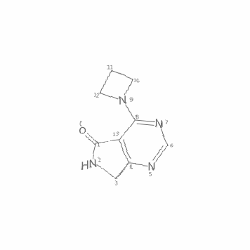 O=C1NCc2ncnc(N3CCC3)c21